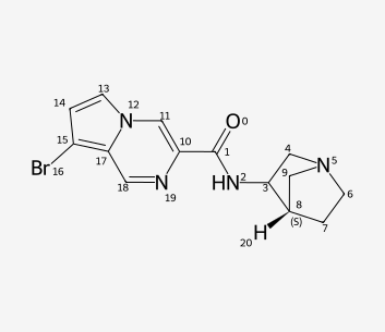 O=C(NC1CN2CC[C@H]1C2)c1cn2ccc(Br)c2cn1